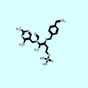 C=Cc1ccc(CS/C(CCOP(=O)(O)O)=C(/C)N(C=O)Cc2cnc(C)nc2N)cc1